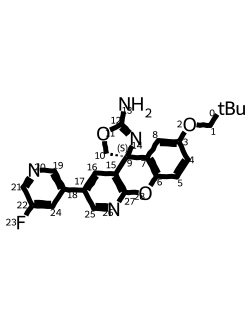 CC(C)(C)COc1ccc2c(c1)[C@@]1(COC(N)=N1)c1cc(-c3cncc(F)c3)cnc1O2